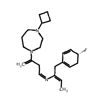 C=C(C/C=N\C(=C/C)CC1=CC[C@@H](F)C=C1)N1CCCN(C2CCC2)CC1